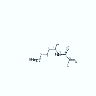 [CH2]C(CCCCCCCCCC)NC(=O)C(=C)C